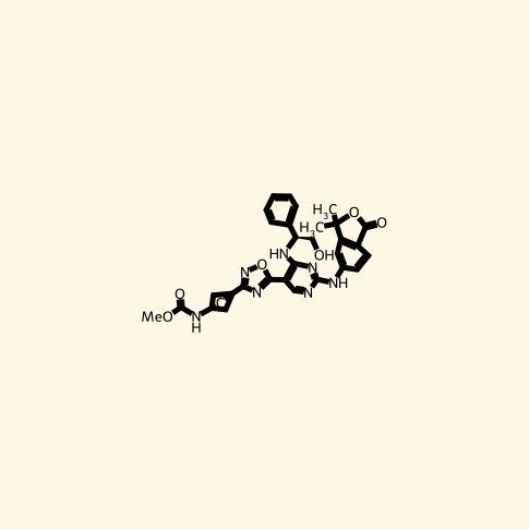 COC(=O)NC12CC(c3noc(-c4cnc(Nc5ccc6c(c5)C(C)(C)OC6=O)nc4N[C@H](CO)c4ccccc4)n3)(C1)C2